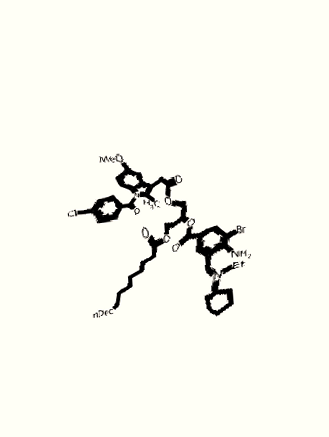 CCCCCCCCCCCCCCCCCC(=O)OCC(COC(=O)Cc1c(C)n(C(=O)c2ccc(Cl)cc2)c2ccc(OC)cc12)OC(=O)c1cc(Br)c(N)c(CN(CC)C2CCCCC2)c1